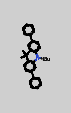 CC1(C)c2ccc(-c3ccccc3)cc2N(C(C)(C)C)c2ccc(-c3ccccc3)cc21